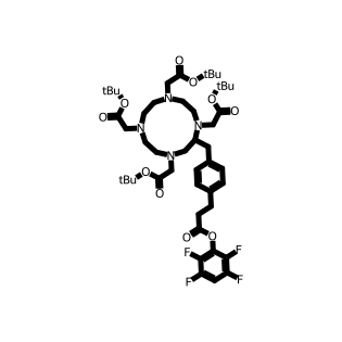 CC(C)(C)OC(=O)CN1CCN(CC(=O)OC(C)(C)C)CCN(CC(=O)OC(C)(C)C)C(Cc2ccc(CCC(=O)Oc3c(F)c(F)cc(F)c3F)cc2)CN(CC(=O)OC(C)(C)C)CC1